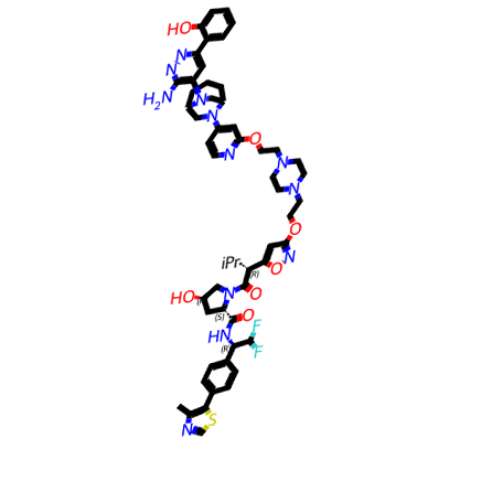 Cc1ncsc1-c1ccc([C@@H](NC(=O)[C@@H]2C[C@@H](O)CN2C(=O)[C@@H](c2cc(OCCN3CCN(CCOc4cc(N5CC6CCCC5CN6c5cc(-c6ccccc6O)nnc5N)ccn4)CC3)no2)C(C)C)C(F)F)cc1